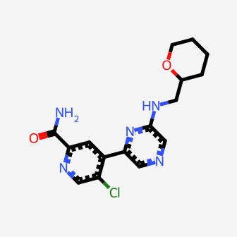 NC(=O)c1cc(-c2cncc(NCC3CCCCO3)n2)c(Cl)cn1